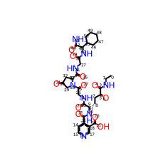 CCNC(=O)C(=O)CC[C@H](NC(=O)c1ccncc1C(=O)O)C(=O)NCC(=O)N1CC(=O)C[C@H]1C(=O)NCC(=O)N[C@H](C(N)=O)C1CCCCC1